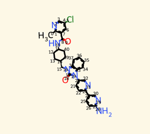 Cc1ncc(Cl)cc1C(=O)N[C@H]1CC[C@H](Cn2c(=O)n(-c3ccc(-c4ccc(N)nc4)nc3)c3ccccc32)CC1